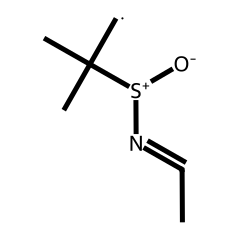 [CH2]C(C)(C)[S+]([O-])N=CC